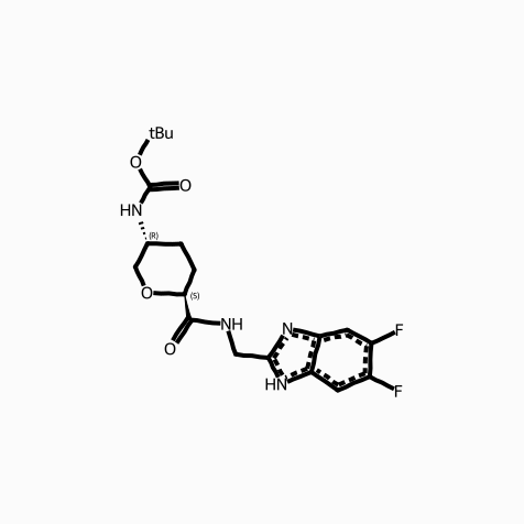 CC(C)(C)OC(=O)N[C@@H]1CC[C@@H](C(=O)NCc2nc3cc(F)c(F)cc3[nH]2)OC1